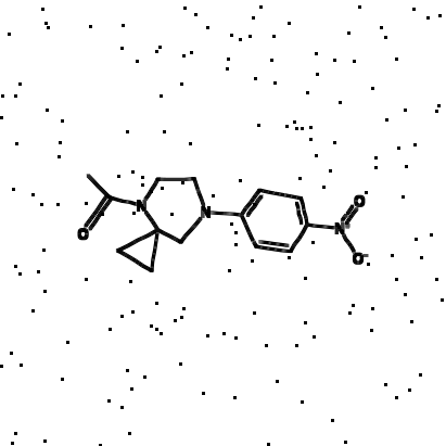 CC(=O)N1CCN(c2ccc([N+](=O)[O-])cc2)CC12CC2